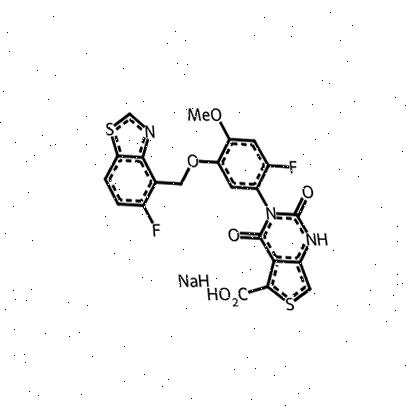 COc1cc(F)c(-n2c(=O)[nH]c3csc(C(=O)O)c3c2=O)cc1OCc1c(F)ccc2scnc12.[NaH]